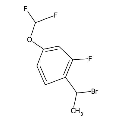 CC(Br)c1ccc(OC(F)F)cc1F